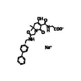 CC1(C)CC(O)=C(C(=O)NCC(=O)[O-])C(=O)N1CC(=O)NCc1ccc(-c2ccccc2)cc1.[Na+]